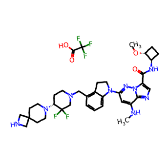 CNc1cc(N2CCc3c(CN4CC[C@@H](N5CCC6(CC5)CNC6)C(F)(F)C4)cccc32)nn2c(C(=O)N[C@@H]3CC[C@H]3OC)cnc12.O=C(O)C(F)(F)F